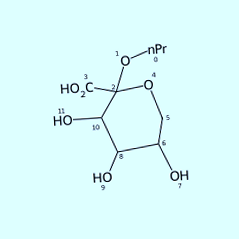 CCCOC1(C(=O)O)OCC(O)C(O)C1O